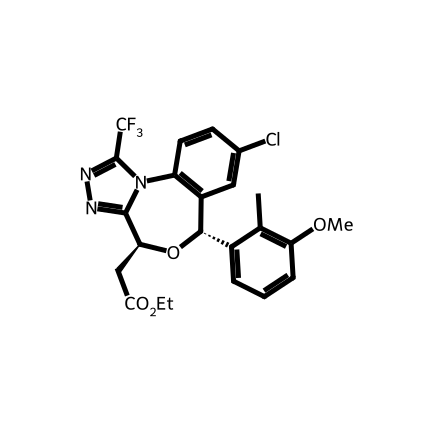 CCOC(=O)C[C@@H]1O[C@@H](c2cccc(OC)c2C)c2cc(Cl)ccc2-n2c1nnc2C(F)(F)F